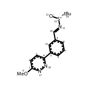 COc1ccc(-c2cccc(C=N[S@+]([O-])C(C)(C)C)c2)nn1